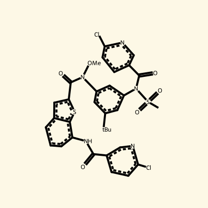 CON(C(=O)c1cc2cccc(NC(=O)c3ccc(Cl)nc3)c2s1)c1cc(N(C(=O)c2ccc(Cl)nc2)S(C)(=O)=O)cc(C(C)(C)C)c1